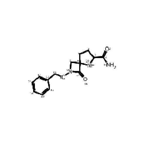 NC(=O)C1CCC2(CN(OCc3ccccc3)C2=O)N1